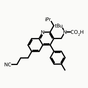 Cc1ccc(-c2c(CN(C(=O)O)C(C)(C)C)c(CC(C)C)nc3ccc(CCCC#N)cc23)cc1